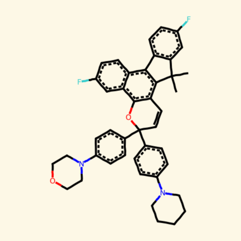 CC1(C)c2cc(F)ccc2-c2c1c1c(c3cc(F)ccc23)OC(c2ccc(N3CCCCC3)cc2)(c2ccc(N3CCOCC3)cc2)C=C1